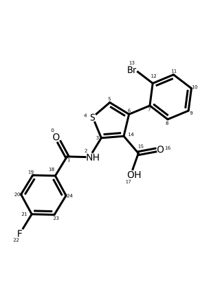 O=C(Nc1scc(-c2ccccc2Br)c1C(=O)O)c1ccc(F)cc1